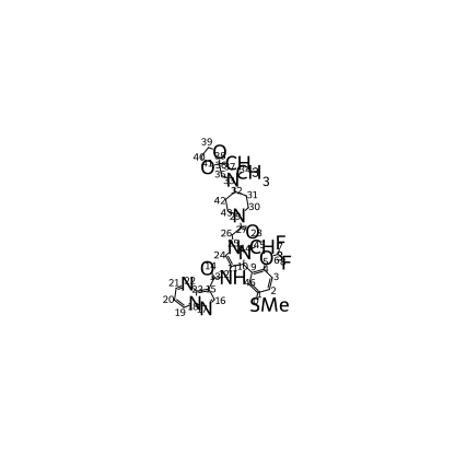 CSc1ccc(OC(F)F)c(C2C(NC(=O)c3cnn4cccnc34)=CN(CC(=O)N3CCC(N(C)CC4(C)OCCO4)CC3)N2C)c1